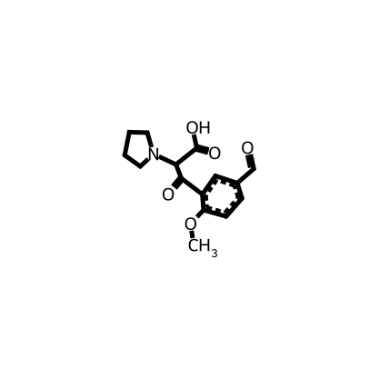 COc1ccc(C=O)cc1C(=O)C(C(=O)O)N1CCCC1